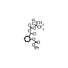 CC(C)OC(=O)Oc1ccccc1C(Cl)OC(=O)OC(C)(C)C(F)(F)F